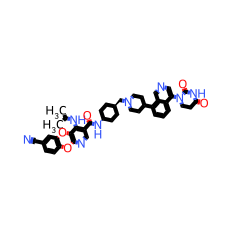 CC(C)Nc1c(C(=O)N[C@H]2CC[C@H](CN3CCC(c4cccc5c(N6CCC(=O)NC6=O)cncc45)CC3)CC2)cnc2c1Oc1cc(C#N)ccc1O2